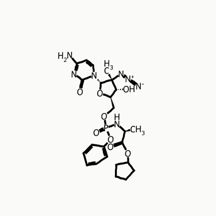 C[C@H](NP(=O)(OC[C@H]1O[C@H](n2ccc(N)nc2=O)[C@](C)(N=[N+]=[N-])[C@@H]1O)Oc1ccccc1)C(=O)OC1CCCC1